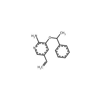 C=Cc1cnc(N)c(OC(C)c2ccccc2)c1